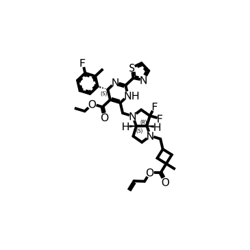 C=CCOC(=O)C1(C)CC(CN2CC[C@H]3[C@@H]2C(F)(F)CN3CC2=C(C(=O)OCC)[C@H](c3cccc(F)c3C)N=C(c3nccs3)N2)C1